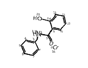 O=C(Nc1ccccc1)c1ccccc1O.[Cr]